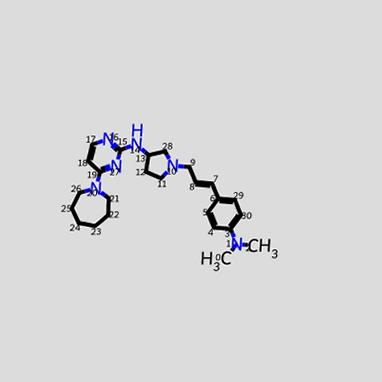 CN(C)c1ccc(/C=C/CN2CCC(Nc3nccc(N4CCCCCC4)n3)C2)cc1